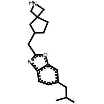 CC(C)Cc1ccc2nc(CC3CCC4(CNC4)C3)oc2c1